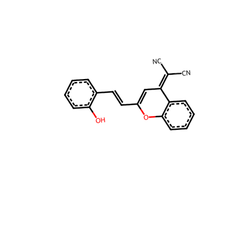 N#CC(C#N)=C1C=C(C=Cc2ccccc2O)Oc2ccccc21